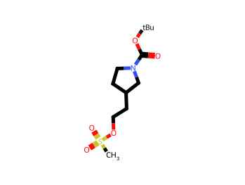 CC(C)(C)OC(=O)N1CCC(CCOS(C)(=O)=O)C1